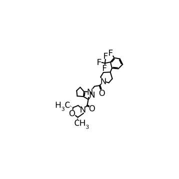 C[C@@H]1CN(C(=O)c2nn(CC(=O)N3CCC(c4cccc(F)c4C(F)(F)F)CC3)c3c2CCC3)C[C@H](C)O1